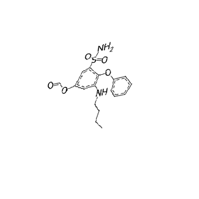 CCCCNc1cc(OC=O)cc(S(N)(=O)=O)c1Oc1ccccc1